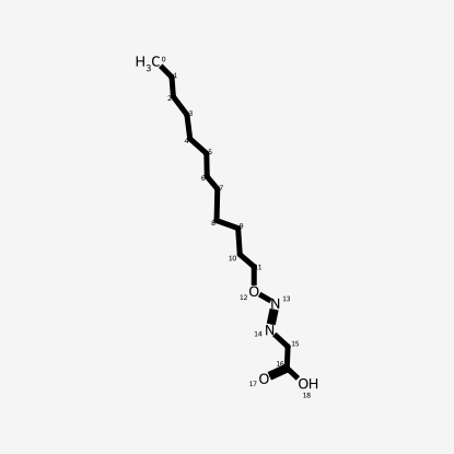 CCCCCCCCCCCCON=NCC(=O)O